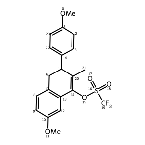 COc1ccc(C2Cc3ccc(OC)cc3C(OS(=O)(=O)C(F)(F)F)=C2C)cc1